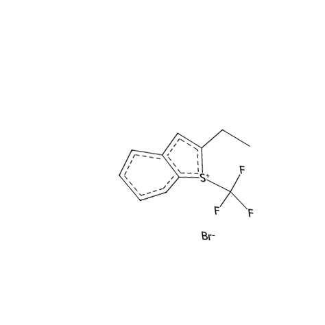 CCc1cc2ccccc2[s+]1C(F)(F)F.[Br-]